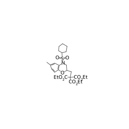 CCOC(=O)C(CC1CN(S(=O)(=O)C2CCCCC2)c2cc(C)ccc2O1)(C(=O)OCC)C(=O)OCC